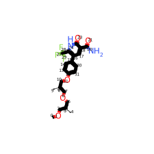 COC[C@@H](C)COC[C@H](C)COc1ccc(-c2cc(C(N)=O)c(=O)[nH]c2C(F)(F)F)cc1